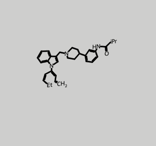 C=C/C=C(\C=C/CC)n1cc(CN2CCC(c3cccc(NC(=O)C(C)C)c3)CC2)c2ccccc21